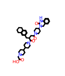 O=C(O)CN1CCC(C2CCN(C(=O)C(CC(=O)N3CCC(N4Cc5ccccc5NC4=O)CC3)Cc3ccc4c(c3)CCCC4)CC2)CC1